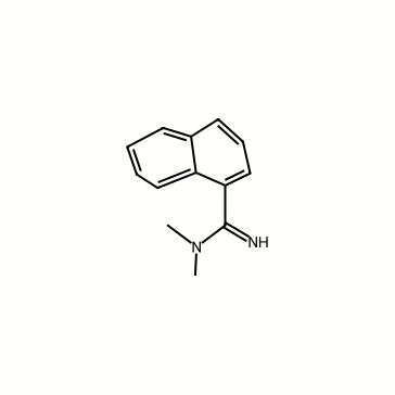 CN(C)C(=N)c1cccc2ccccc12